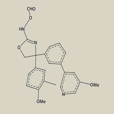 COc1cncc(-c2cccc(C3(c4ccc(OC)c(C)c4)COC(NOC=O)=N3)c2)c1